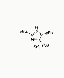 CCCCc1nc(CCCC)c(CCCC)[nH]1.[Sn]